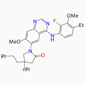 CCCC1(CCC(C)C)CC(=O)N(c2cc3c(Nc4ccc(CC)c(OC)c4F)ncnc3cc2OC)C1